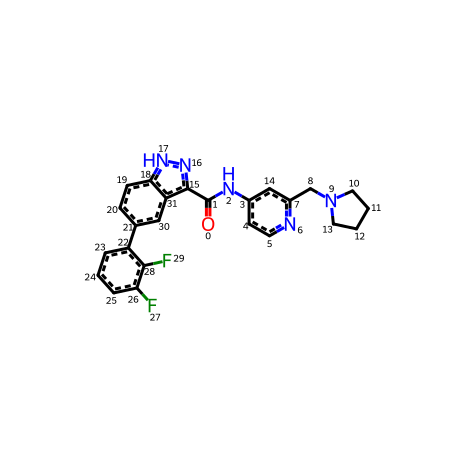 O=C(Nc1ccnc(CN2CCCC2)c1)c1n[nH]c2ccc(-c3cccc(F)c3F)cc12